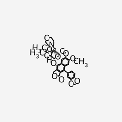 COc1cc2c(O[C@H]3OC[C@@]4(CN5CCOCC5)OC(C)(C)O[C@@H]34)c3c(c(-c4ccc5c(c4)OCO5)c2cc1OC)C(=O)OC3